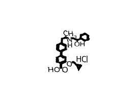 C[C@H](Cc1ccc(-c2ccc(C(=O)O)c(OCC3CC3)c2)cc1)NC[C@H](O)c1ccccc1.Cl